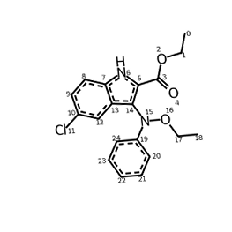 CCOC(=O)c1[nH]c2ccc(Cl)cc2c1N(OCC)c1ccccc1